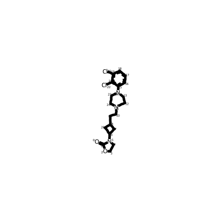 O=C1OCCN1C1CC(CCN2CCN(c3cccc(Cl)c3Cl)CC2)C1